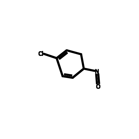 O=NC1C=CC(Cl)=CC1